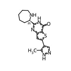 Cc1[nH]ncc1-c1cc2nc([C@H]3CCCCCN3)[nH]c(=O)c2s1